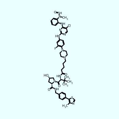 Cc1ncsc1-c1ccc(CNC(=O)[C@H]2C[C@@H](O)CN2C(=O)[C@@H](NC(=O)CCCCN2CCN(c3ccc(Nc4ncc(Cl)c(Nc5ccccc5N(C)[SH]=O)n4)cc3F)CC2)C(C)(C)C)cc1